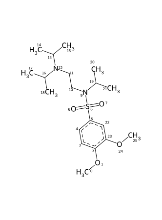 COc1ccc(S(=O)(=O)N(CCN(C(C)C)C(C)C)C(C)C)cc1OC